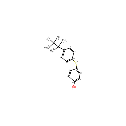 COC(C)(C)C(C)(C)c1ccc(Sc2ccc(O)cc2)cc1